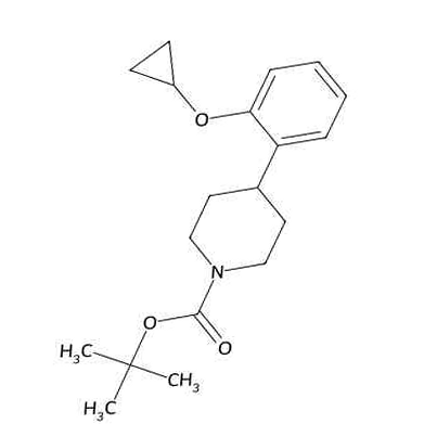 CC(C)(C)OC(=O)N1CCC(c2ccccc2OC2CC2)CC1